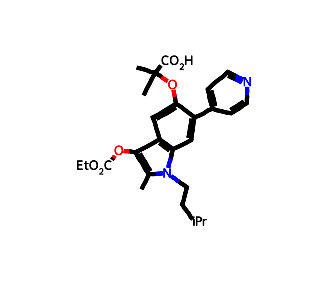 CCOC(=O)Oc1c(C)n(CCC(C)C)c2cc(-c3ccncc3)c(OC(C)(C)C(=O)O)cc12